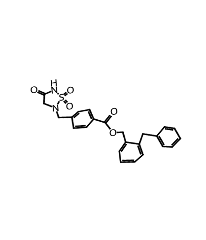 O=C1CN(Cc2ccc(C(=O)OCc3ccccc3Cc3ccccc3)cc2)S(=O)(=O)N1